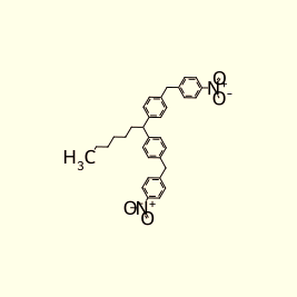 CCCCCCC(c1ccc(Cc2ccc([N+](=O)[O-])cc2)cc1)c1ccc(Cc2ccc([N+](=O)[O-])cc2)cc1